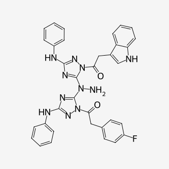 NN(c1nc(Nc2ccccc2)nn1C(=O)Cc1ccc(F)cc1)c1nc(Nc2ccccc2)nn1C(=O)Cc1c[nH]c2ccccc12